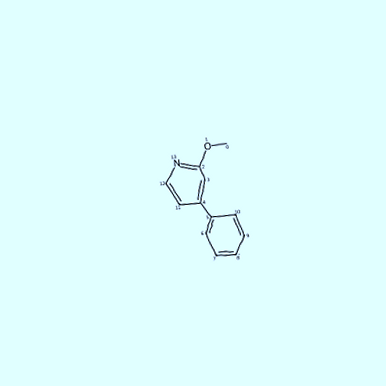 COc1cc(-c2cc[c]cc2)ccn1